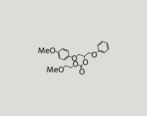 COCCOC(=O)OC(COc1ccccc1)COc1ccc(OC)cc1